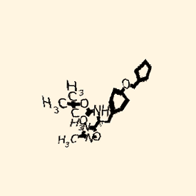 Cc1noc([C@H](Cc2ccc(OCC3CCCC3)cc2)NC(=O)OC(C)(C)C)n1